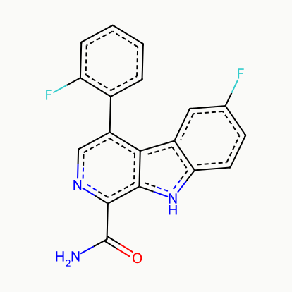 NC(=O)c1ncc(-c2ccccc2F)c2c1[nH]c1ccc(F)cc12